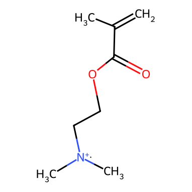 C=C(C)C(=O)OCC[N+](C)C